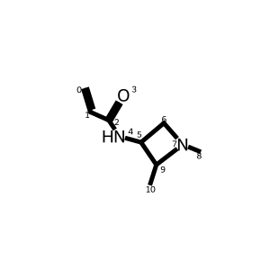 C=CC(=O)NC1CN(C)C1C